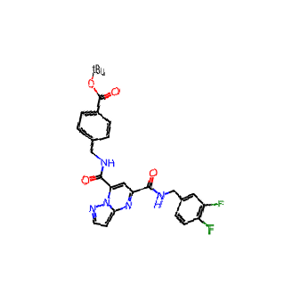 CC(C)(C)OC(=O)c1ccc(CNC(=O)c2cc(C(=O)NCc3ccc(F)c(F)c3)nc3ccnn23)cc1